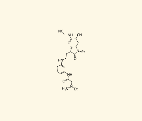 CCN(C)CC(=O)Nc1cccc(NCCC2SC(CC(C#N)C(=O)NCC#N)N(CC)C2=O)c1